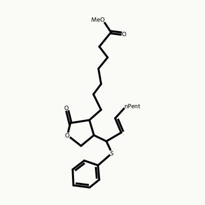 CCCCCC=CC(Sc1ccccc1)C1COC(=O)C1CCCCCCC(=O)OC